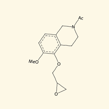 COc1ccc2c(c1OCC1CO1)CCN(C(C)=O)C2